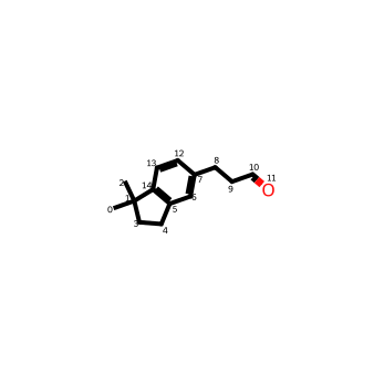 CC1(C)CCc2cc(CCC=O)ccc21